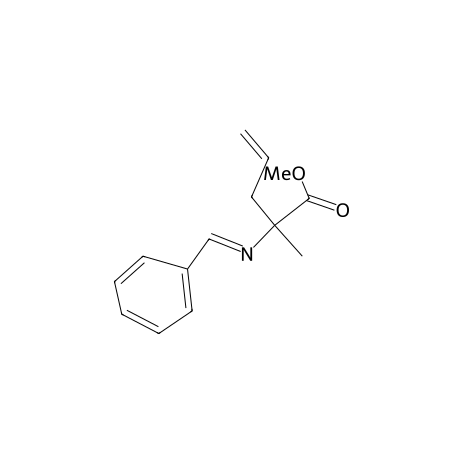 C=CCC(C)(N=Cc1ccccc1)C(=O)OC